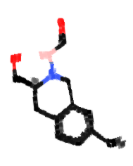 Cc1ccc2c(c1)CN(BC=O)[C@H](CO)C2